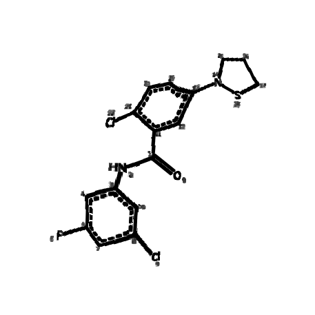 O=C(Nc1cc(F)cc(Cl)c1)c1cc(N2CCCS2)ccc1Cl